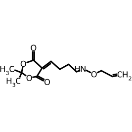 C=CCONCCCC=C1C(=O)OC(C)(C)OC1=O